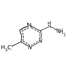 Cc1cnc(NN)nn1